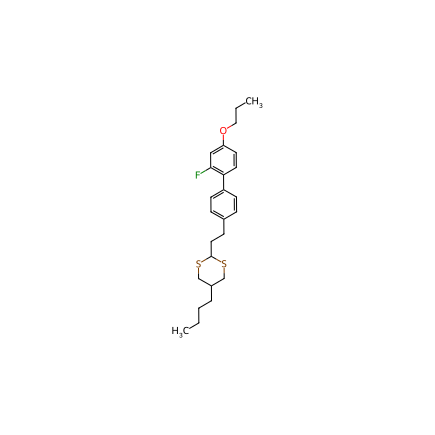 CCCCC1CSC(CCc2ccc(-c3ccc(OCCC)cc3F)cc2)SC1